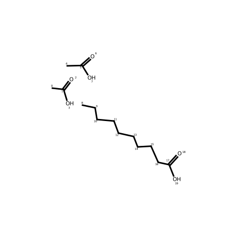 CC(=O)O.CC(=O)O.CCCCCCCCCC(=O)O